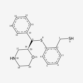 SCc1ccccc1SC(c1ccccc1)[C@@H]1CNCCO1